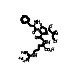 N=C(N)NCCC[C@H](NC(=O)[C@@H]1CCCN1C(=O)[C@H](N)Cc1ccccc1)C(=O)O.O=C(CCl)CCl